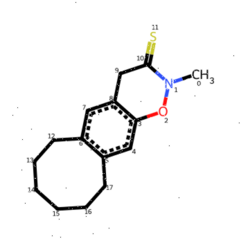 CN1Oc2cc3c(cc2CC1=S)CCCCCC3